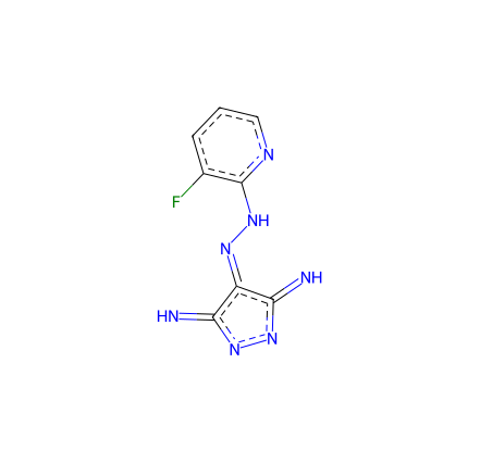 N=c1nnc(=N)c1=NNc1ncccc1F